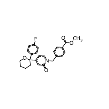 COC(=O)c1ccc(Cn2ccc(C3(c4ccc(F)cc4)CCCCO3)cc2=O)cc1